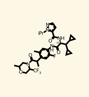 Cc1cc(NC(=O)[C@@H](NC(=O)c2ccnn2C(C)C)C(C2CC2)C2CC2)c(F)cc1C(C)C(=O)N1CC(C)OCC1C(F)(F)F